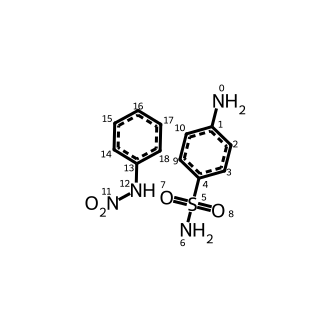 Nc1ccc(S(N)(=O)=O)cc1.O=[N+]([O-])Nc1ccccc1